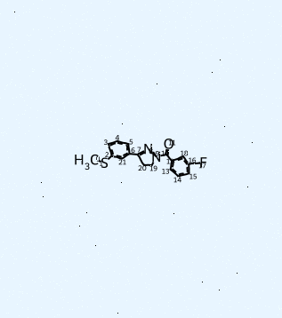 CSc1cccc(C2=NN(C(=O)c3cccc(F)c3)CC2)c1